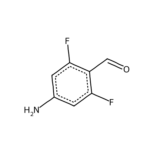 Nc1cc(F)c(C=O)c(F)c1